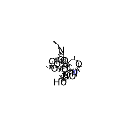 C#CCCN(C)[C@@H]1C[C@H](O[C@H]([C@@H](C)[C@H](O[C@H]2C[C@H](C)[C@@H](O)C(C)O2)[C@@H](C)C(=O)O[C@H](CC)C(C)(C)O)[C@]2(C)CCC(=C)COC(C)[C@@H](C)/C(=N/O)[C@H](C)C2)O[C@H](C)C1